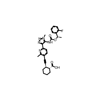 Cc1nc(-c2nnn(C)c2NC(=O)O[C@H](C)c2ccccc2F)ccc1C#C[C@@H]1CCCC[C@H]1C(=O)O